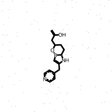 C=C(O)CC1CCC2NC(Cc3ccncc3)=CB2O1